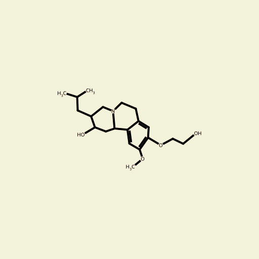 COc1cc2c(cc1OCCO)CCN1CC(CC(C)C)C(O)CC21